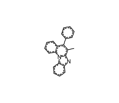 Cc1c(-c2ccccc2)c2ccccc2n2c1nc1ccccc12